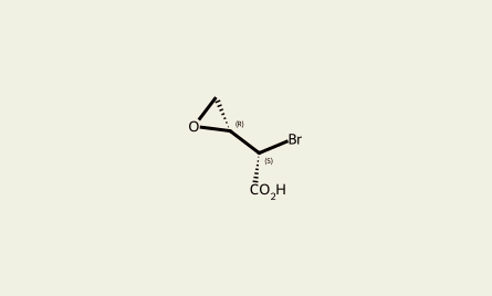 O=C(O)[C@@H](Br)[C@H]1CO1